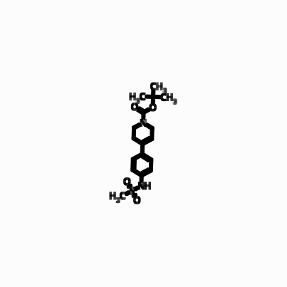 CC(C)(C)OC(=O)N1CC=C(c2ccc(NS(C)(=O)=O)cc2)CC1